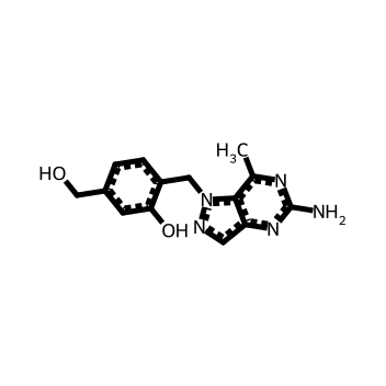 Cc1nc(N)nc2cnn(Cc3ccc(CO)cc3O)c12